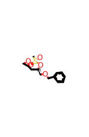 CS(=O)(=O)O[C@@H](COCc1ccccc1)CC1CO1